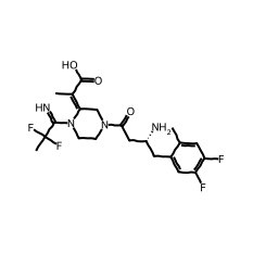 C/C(C(=O)O)=C1/CN(C(=O)C[C@H](N)Cc2cc(F)c(F)cc2C)CCN1C(=N)C(C)(F)F